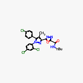 CCCCNC(=O)c1nnc(-c2nn(-c3ccc(Cl)cc3Cl)c(-c3ccc(Cl)cc3)c2C)o1